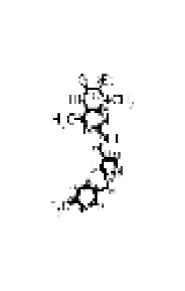 CC[C@@H]1C(=O)Nc2c(C)nc(NCc3cnn(Cc4ccc(C(F)(F)F)nc4)c3)nc2N1C